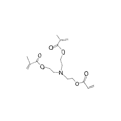 C=CC(=O)OCCN(CCOC(=O)C(=C)C)CCOC(=O)C(=C)C